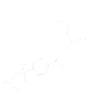 C=C[Si](C)(C=C)c1ccc(C(=O)OO[C](C)COC)cc1